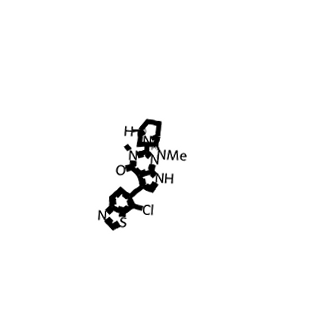 CN[C@@H]1C[C@@H]2CCC1N2c1nc2[nH]cc(-c3ccc4ncsc4c3Cl)c2c(=O)n1C